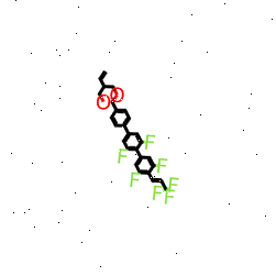 C=CC1COC(c2ccc(-c3cc(F)c(-c4cc(F)c(/C=C/C(F)(F)F)c(F)c4)c(F)c3)cc2)OC1